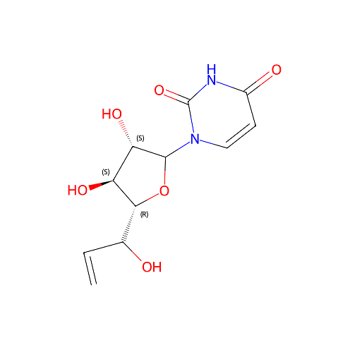 C=CC(O)[C@H]1OC(n2ccc(=O)[nH]c2=O)[C@@H](O)[C@@H]1O